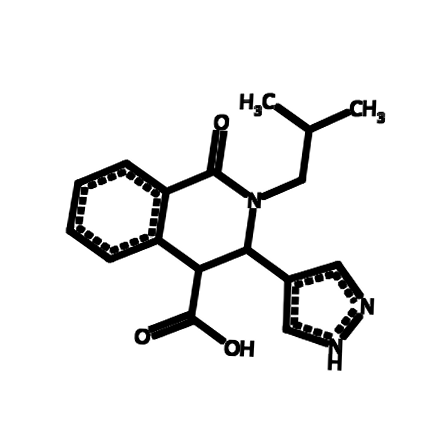 CC(C)CN1C(=O)c2ccccc2C(C(=O)O)C1c1cn[nH]c1